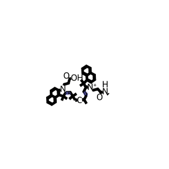 CNC(=O)CC[N+]1=C(/C=C/C(C)=C=CC(C)(C)/C=C2/N(CCC(=O)O)c3ccc4ccccc4c3C2(C)C)C(C)(C)c2c1ccc1ccccc21